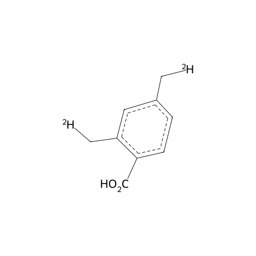 [2H]Cc1ccc(C(=O)O)c(C[2H])c1